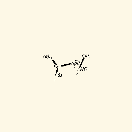 CCC[CH2][Sn+]([CH2]CCC)[CH2]CCC.O=[C-]O